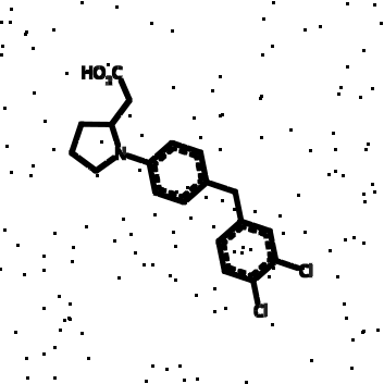 O=C(O)CC1CCCN1c1ccc(Cc2ccc(Cl)c(Cl)c2)cc1